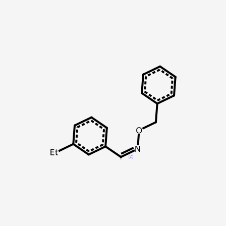 CCc1cccc(/[C]=N\OCc2ccccc2)c1